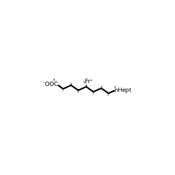 CCCCCCCCCCCCCCC(=O)[O-].[Fr+]